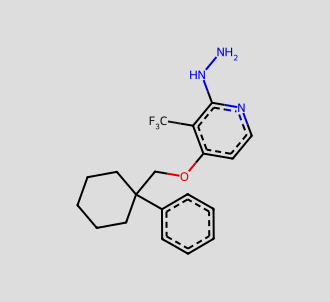 NNc1nccc(OCC2(c3ccccc3)CCCCC2)c1C(F)(F)F